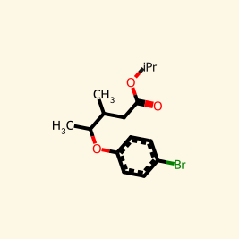 CC(C)OC(=O)CC(C)C(C)Oc1ccc(Br)cc1